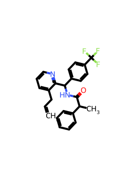 C=CCc1cccnc1C(NC(=O)C(C)c1ccccc1)c1ccc(C(F)(F)F)cc1